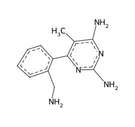 Cc1c(N)nc(N)nc1-c1ccccc1CN